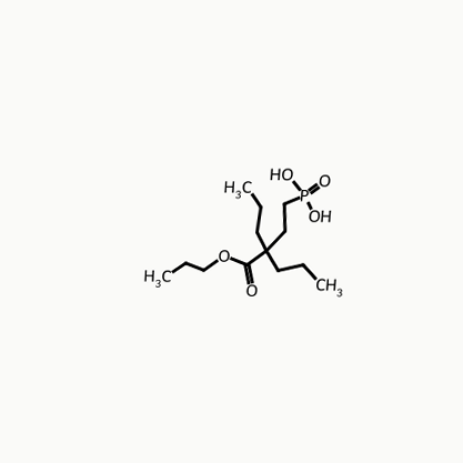 CCCOC(=O)C(CCC)(CCC)CCP(=O)(O)O